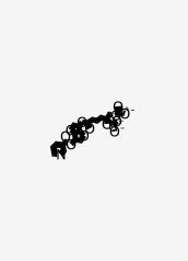 O=C(CCCC(CO[N+](=O)[O-])O[N+](=O)[O-])OC1COC2C(OC(=O)c3cccnc3)COC12